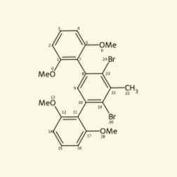 COc1cccc(OC)c1-c1cc(-c2c(OC)cccc2OC)c(Br)c(C)c1Br